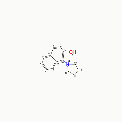 Oc1ccc2ccccc2c1N1[CH]CCC1